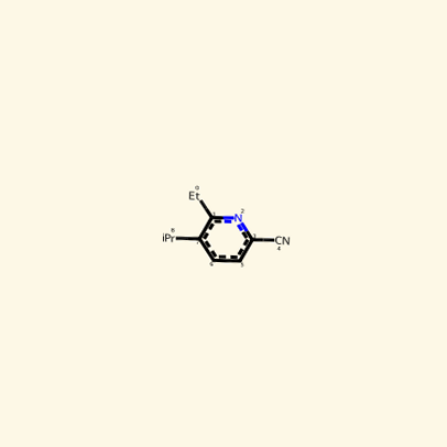 CCc1nc(C#N)ccc1C(C)C